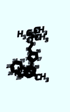 Cc1c2c3c(c(C4=CC(CCO[Si](C)(C)C)=CC4)c1[Si]2(C)C)C1C=CC=CC1=[C]3